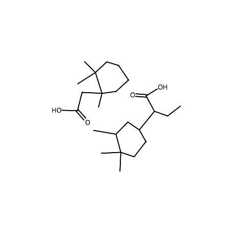 CC1(C)CCCCC1(C)CC(=O)O.CCC(C(=O)O)C1CCC(C)(C)C(C)C1